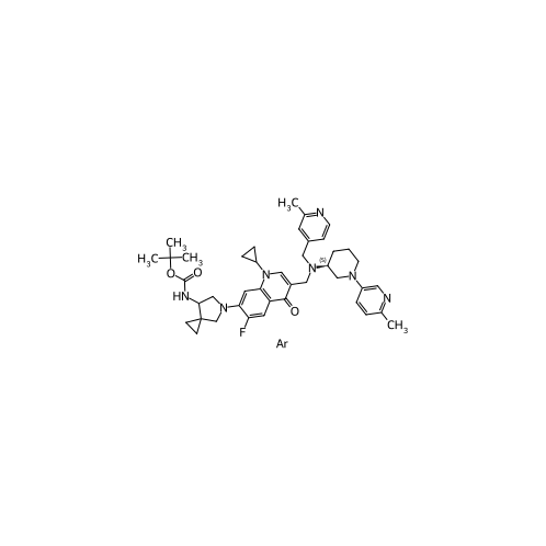 Cc1ccc(N2CCC[C@H](N(Cc3ccnc(C)c3)Cc3cn(C4CC4)c4cc(N5CC(NC(=O)OC(C)(C)C)C6(CC6)C5)c(F)cc4c3=O)C2)cn1.[Ar]